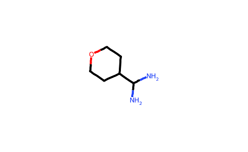 NC(N)C1CCOCC1